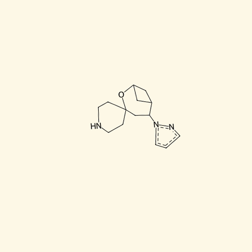 c1cnn(C2CC3(CCNCC3)OC3CC2C3)c1